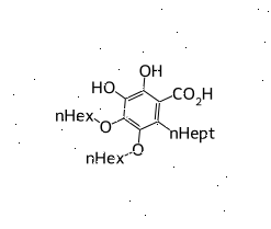 CCCCCCCc1c(OCCCCCC)c(OCCCCCC)c(O)c(O)c1C(=O)O